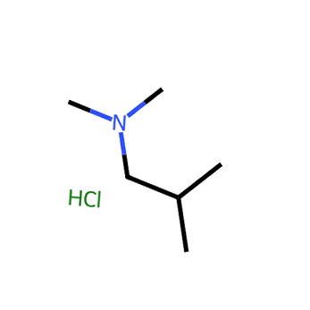 CC(C)CN(C)C.Cl